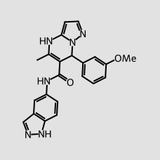 COc1cccc(C2C(C(=O)Nc3ccc4[nH]ncc4c3)=C(C)Nc3ccnn32)c1